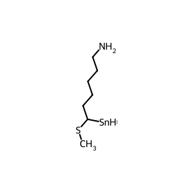 CS[CH]([SnH])CCCCCN